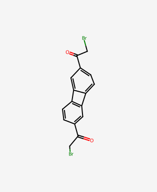 O=C(CBr)c1ccc2c(c1)-c1ccc(C(=O)CBr)cc1-2